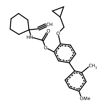 C#CC1(NC(=O)Oc2cc(-c3ccc(OC)cc3C)ccc2OCC2CC2)CCCCC1